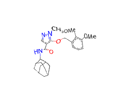 COc1cccc(COc2c(C(=O)NC3C4CC5CC(C4)CC3C5)cnn2C)c1OC